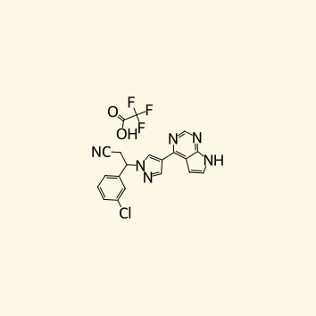 N#CCC(c1cccc(Cl)c1)n1cc(-c2ncnc3[nH]ccc23)cn1.O=C(O)C(F)(F)F